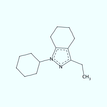 CCc1nn(C2CCCCC2)c2c1CCCC2